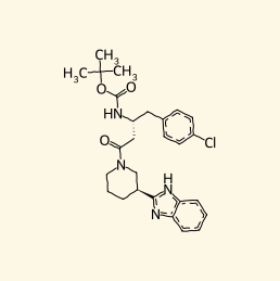 CC(C)(C)OC(=O)N[C@@H](CC(=O)N1CCC[C@H](c2nc3ccccc3[nH]2)C1)Cc1ccc(Cl)cc1